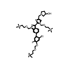 CCc1cc(OCOCC[Si](C)(C)C)c(F)cc1-c1ccc2c(-c3nc(CN4CCC(O)C4)cn3COCC[Si](C)(C)C)nn(COCC[Si](C)(C)C)c2c1